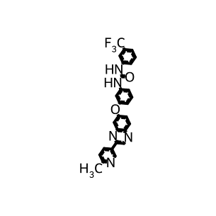 Cc1ccc(-c2cnc3ccc(Oc4cccc(NC(=O)Nc5cccc(C(F)(F)F)c5)c4)cc3n2)cn1